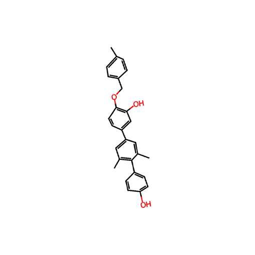 Cc1ccc(COc2ccc(-c3cc(C)c(-c4ccc(O)cc4)c(C)c3)cc2O)cc1